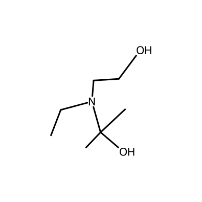 CCN(CCO)C(C)(C)O